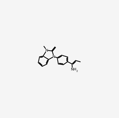 C=C1N(C)c2ccccc2N1c1ccc(/C(N)=C/C)cc1